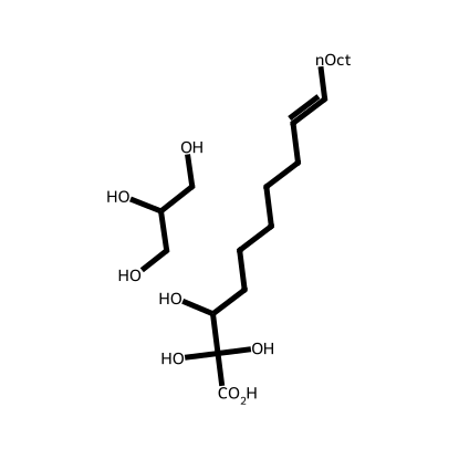 CCCCCCCCC=CCCCCCC(O)C(O)(O)C(=O)O.OCC(O)CO